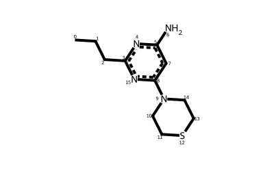 CCCc1nc(N)cc(N2CCSCC2)n1